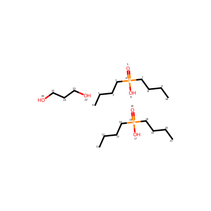 CCCCP(=O)(O)CCCC.CCCCP(=O)(O)CCCC.OCCCO